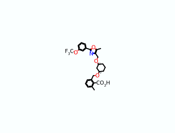 Cc1cccc(CO[C@@H]2CCC[C@H](OCc3nc(-c4cccc(OC(F)(F)F)c4)oc3C)C2)c1C(=O)O